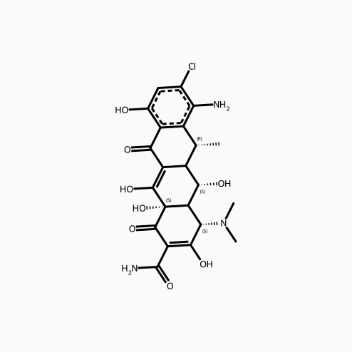 C[C@H]1c2c(N)c(Cl)cc(O)c2C(=O)C2=C(O)[C@]3(O)C(=O)C(C(N)=O)=C(O)[C@@H](N(C)C)C3[C@@H](O)C21